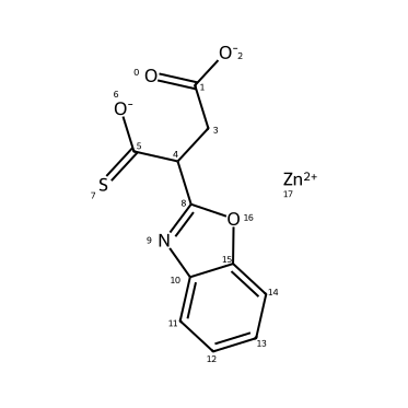 O=C([O-])CC(C([O-])=S)c1nc2ccccc2o1.[Zn+2]